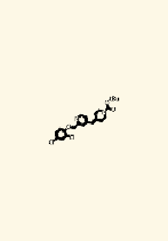 CC(C)(C)OC(=O)N1CCC(=Cc2ccnc(COc3ccc(Cl)cc3Cl)c2)CC1